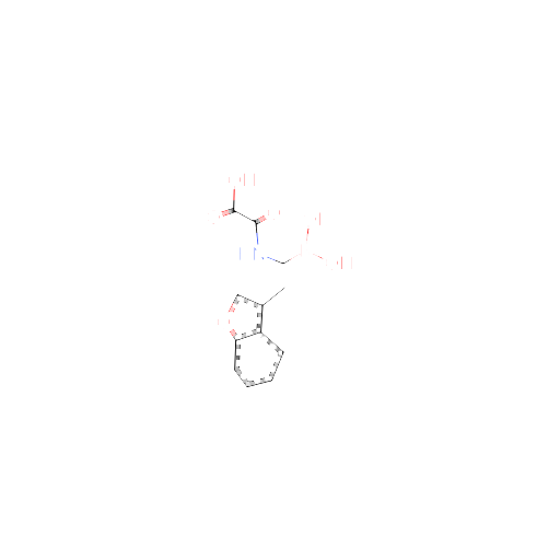 O=C(O)C(=O)N[C@@H](Cc1coc2ccccc12)B(O)O